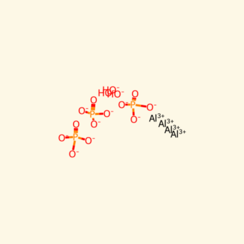 O=P([O-])([O-])[O-].O=P([O-])([O-])[O-].O=P([O-])([O-])[O-].[Al+3].[Al+3].[Al+3].[Al+3].[OH-].[OH-].[OH-]